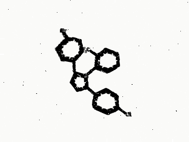 N#Cc1ccc(-c2ccc(-c3ccc(Br)cc3)n2-c2ccccc2C(F)(F)F)cc1